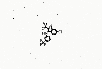 COC(=O)c1c(Nc2cccc(C(F)(F)F)c2)c2ccc(Cl)cc2n1C